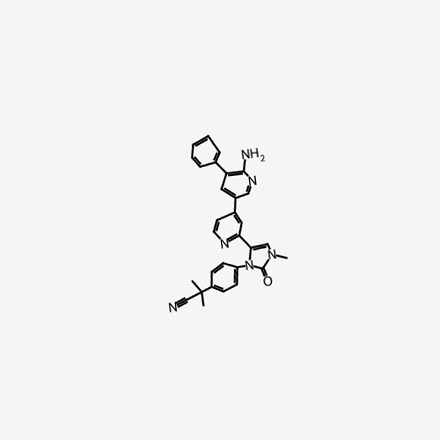 Cn1cc(-c2cc(-c3cnc(N)c(-c4ccccc4)c3)ccn2)n(-c2ccc(C(C)(C)C#N)cc2)c1=O